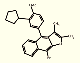 CC(=O)Oc1ccc(-c2c3ccccc3c(Br)c3sc(C)c(C)c23)cc1C1CCCC1